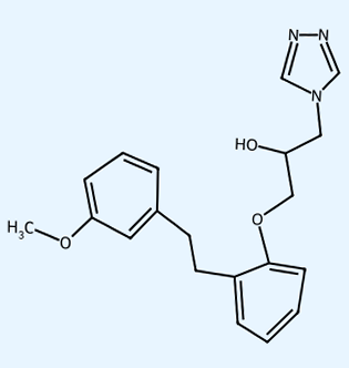 COc1cccc(CCc2ccccc2OCC(O)Cn2cnnc2)c1